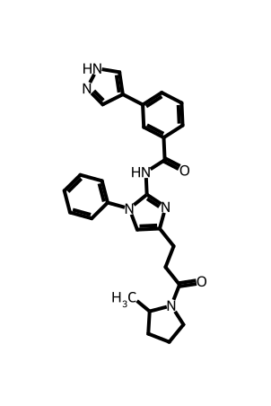 CC1CCCN1C(=O)CCc1cn(-c2ccccc2)c(NC(=O)c2cccc(-c3cn[nH]c3)c2)n1